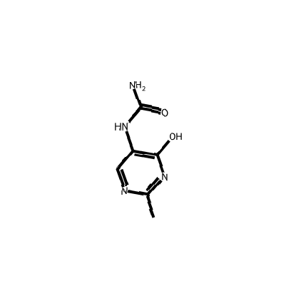 Cc1ncc(NC(N)=O)c(O)n1